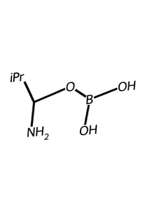 CC(C)C(N)OB(O)O